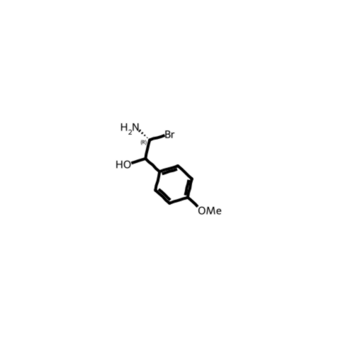 COc1ccc(C(O)[C@H](N)Br)cc1